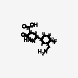 NCc1cc(-c2cc(C(=O)O)c(=O)[nH]n2)ccc1F